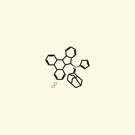 C1=CC[C]([Zr+2](=[C]2C3CC4CC(C3)CC2C4)[CH]2C3C=CC=CC3C3C4C=CC=CC4C4C=CC=CC4C32)=C1.[Cl-].[Cl-]